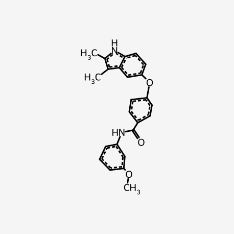 COc1cccc(NC(=O)c2ccc(Oc3ccc4[nH]c(C)c(C)c4c3)cc2)c1